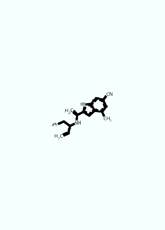 C=CC(CC(C)C)NC(=C)c1cc2c(C)cc(C#N)cc2[nH]1